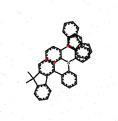 CC1(C)c2ccccc2-c2c(-c3ccccc3N(c3ccccc3-n3c4ccccc4c4ccccc43)c3cccc4ccccc34)cccc21